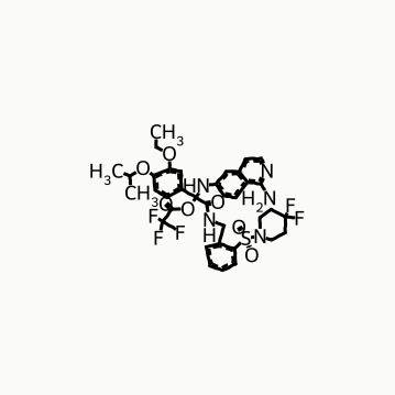 CCOc1cc(C(Nc2ccc3c(N)nccc3c2)(OC(=O)C(F)(F)F)C(=O)NCc2ccccc2S(=O)(=O)N2CCC(F)(F)CC2)ccc1OC(C)C